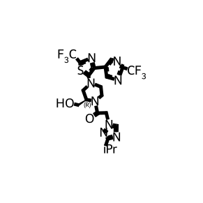 CC(C)c1ncn(CC(=O)N2CCN(c3sc(C(F)(F)F)nc3-c3cnc(C(F)(F)F)nc3)C[C@@H]2CO)n1